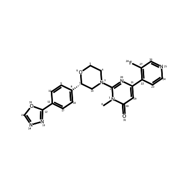 Cn1c(N2CCO[C@@H](c3ccc(-c4nnco4)cc3)C2)nc(-c2ccncc2F)cc1=O